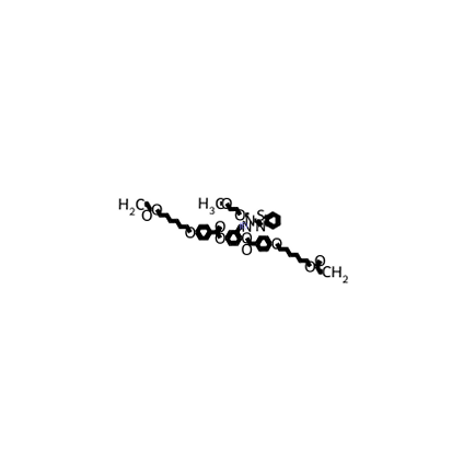 C=CC(=O)OCCCCCCOc1ccc(C(=O)Oc2ccc(OC(=O)c3ccc(OCCCCCCOC(=O)C=C)cc3)c(/C=N/N(COCCOC)c3nc4ccccc4s3)c2)cc1